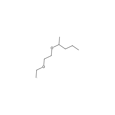 [CH2]COCCOC(C)CCC